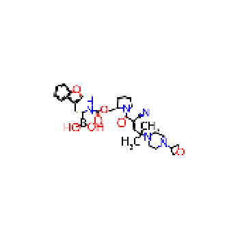 CC(C)(C=C(C#N)C(=O)N1CCCCC1COC(=O)N[C@@H](Cc1coc2ccccc12)B(O)O)N1CCN(C2COC2)CC1